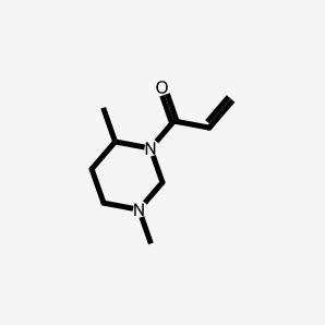 C=CC(=O)N1CN(C)CCC1C